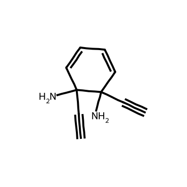 C#CC1(N)C=CC=CC1(N)C#C